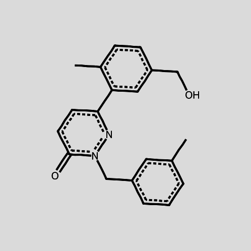 Cc1cccc(Cn2nc(-c3cc(CO)ccc3C)ccc2=O)c1